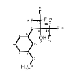 CCC1CCCC(CC(O)(C(F)(F)F)C(F)(F)F)C1